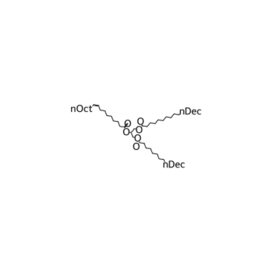 CCCCCCCC/C=C\CCCCCCCC(=O)OC(COC(=O)CCCCCCCCCCCCCCCCC)COC(=O)CCCCCCCCCCCCCCCCCCC